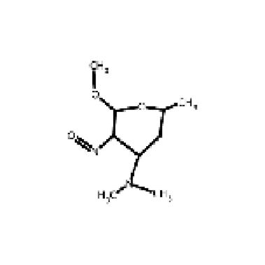 COC1OC(C)CC(N(C)C)C1N=O